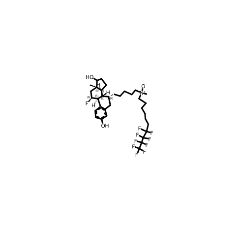 C[C@]12C[C@H](F)[C@@H]3c4ccc(O)cc4C[C@@H](CCCCC[N+](C)([O-])CCCCCCC(F)(F)C(F)(F)C(F)(F)C(F)(F)F)[C@H]3[C@@H]1CCC2O